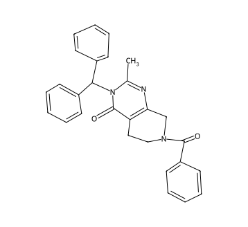 Cc1nc2c(c(=O)n1C(c1ccccc1)c1ccccc1)CCN(C(=O)c1ccccc1)C2